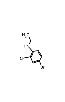 CCNc1ccc(Br)cc1Cl